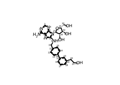 Nc1ncnc2c1nc(NCc1ccc(-c3cccc(CCO)c3)cc1)n2[C@@H]1O[C@H](CO)[C@@H](O)[C@H]1O